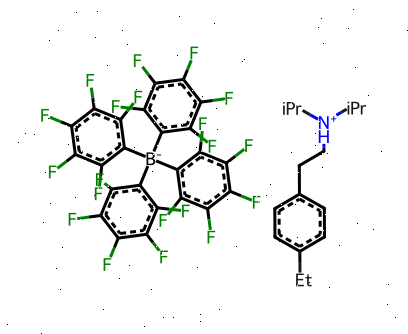 CCc1ccc(CC[NH+](C(C)C)C(C)C)cc1.Fc1c(F)c(F)c([B-](c2c(F)c(F)c(F)c(F)c2F)(c2c(F)c(F)c(F)c(F)c2F)c2c(F)c(F)c(F)c(F)c2F)c(F)c1F